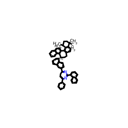 CC1(C)CCC(C)(C)c2c1ccc1c2-c2ccc3ccccc3c2[C@H](c2cccc3cc(C4=NC(c5cccc6ccccc56)=NC(c5ccccc5)=CC4)ccc23)CC1